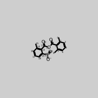 Cc1cccc(C)c1C(=O)OC(=O)c1c(C)cccc1[N+](=O)[O-]